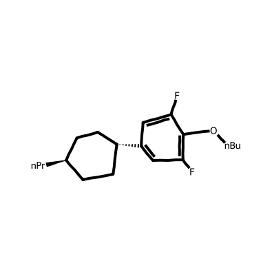 CCCCOc1c(F)cc([C@H]2CC[C@H](CCC)CC2)cc1F